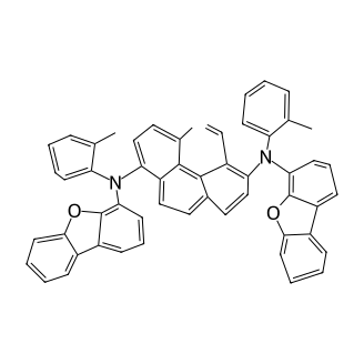 C=Cc1c(N(c2ccccc2C)c2cccc3c2oc2ccccc23)ccc2ccc3c(N(c4ccccc4C)c4cccc5c4oc4ccccc45)ccc(C)c3c12